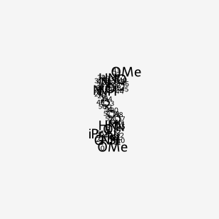 COC(=O)N[C@H](C(=O)N1C[Si](C)(C)C[C@H]1c1nc2ccc3cc(-c4ccc(-c5cnc([C@@H]6CCCN6C(=O)[C@H](NC(=O)OC)c6ccccc6)[nH]5)cc4)ccc3c2[nH]1)C(C)C